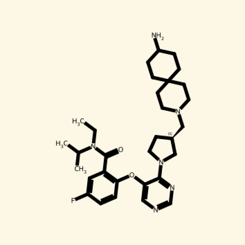 CCN(C(=O)c1cc(F)ccc1Oc1cncnc1N1CC[C@@H](CN2CCC3(CCC(N)CC3)CC2)C1)C(C)C